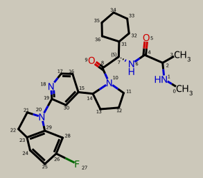 CNC(C)C(=O)N[C@H](C(=O)N1CCCC1c1ccnc(N2CCc3ccc(F)cc32)c1)C1CCCCC1